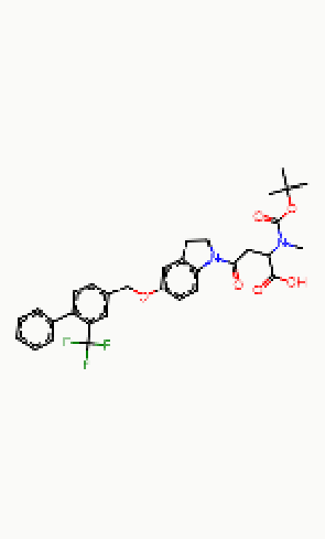 CN(C(=O)OC(C)(C)C)C(CC(=O)N1CCc2cc(OCc3ccc(-c4ccccc4)c(C(F)(F)F)c3)ccc21)C(=O)O